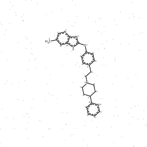 Cc1cnc2nc(Oc3ccc(CCN4CCC(c5ccccn5)CC4)cc3)sc2c1